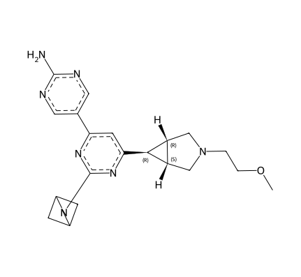 COCCN1C[C@@H]2[C@H](C1)[C@H]2c1cc(-c2cnc(N)nc2)nc(N2CC3CC2C3)n1